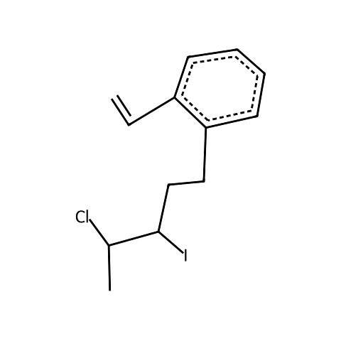 C=Cc1ccccc1CCC(I)C(C)Cl